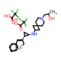 CC/C(=C\c1ccccc1)[C@H]1C[C@@H]1NC1CC2(CCN(C[C@@H](C)O)CC2)C1.O=C(O)C(F)(F)F.O=C(O)C(F)(F)F